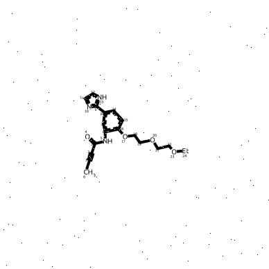 CC#CC(=O)Nc1cc(-c2ncc[nH]2)ccc1OCCOCCOCC